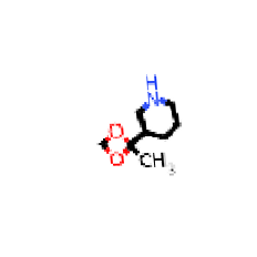 CC1(C2CCCNC2)OCO1